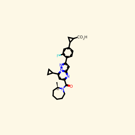 C[C@@H]1CCCCCN1C(=O)c1cc(C2CC2)n2nc(-c3ccc(C4CC4C(=O)O)cc3F)cc2n1